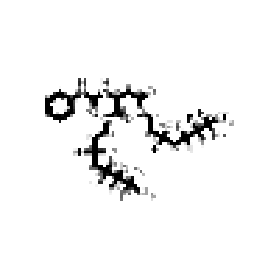 O=C(Nc1ccccc1)NC(CC(=O)OCCC(F)(F)CC(F)(F)C(F)(F)C(F)(F)C(F)(F)F)C(=O)OCCC(F)(F)CC(F)(F)C(F)(F)C(F)(F)C(F)(F)F